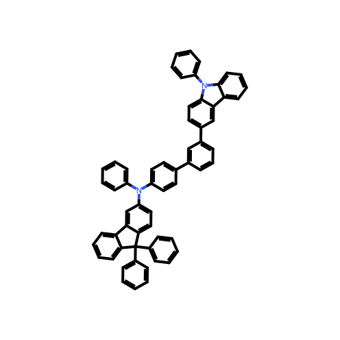 c1ccc(N(c2ccc(-c3cccc(-c4ccc5c(c4)c4ccccc4n5-c4ccccc4)c3)cc2)c2ccc3c(c2)-c2ccccc2C3(c2ccccc2)c2ccccc2)cc1